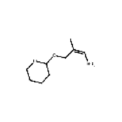 C/C(=C/[N+](=O)[O-])COC1CCCCO1